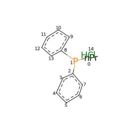 CCCP(c1ccccc1)c1ccccc1.Cl